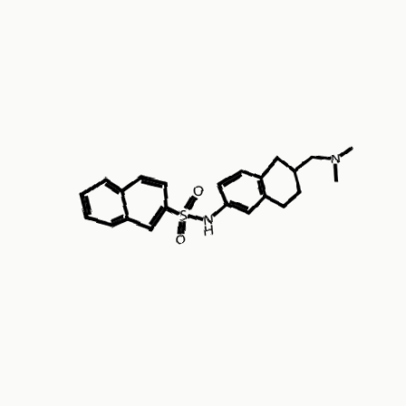 CN(C)CC1CCc2cc(NS(=O)(=O)c3ccc4ccccc4c3)ccc2C1